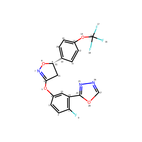 Fc1ccc(OC2=NO[C@H](c3ccc(OC(F)(F)F)cc3)C2)cc1-c1nnco1